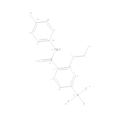 CCSc1cc(C(F)(F)F)ccc1C(=O)Nc1ccc(C)cc1